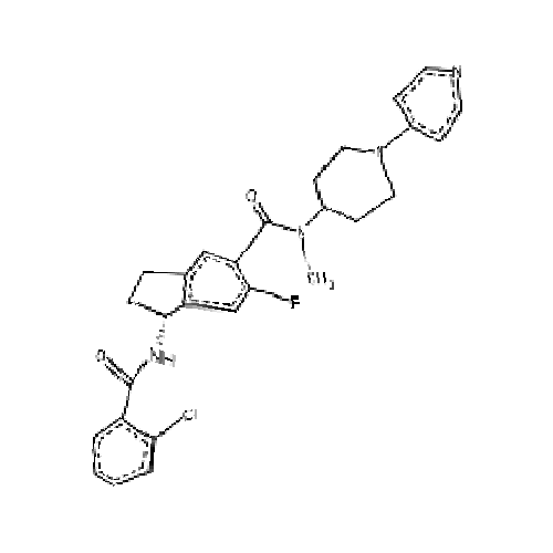 CN(C(=O)c1cc2c(cc1F)[C@H](NC(=O)c1ccccc1Cl)CC2)C1CCN(c2ccncc2)CC1